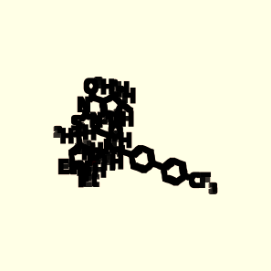 [2H]C([2H])(Sc1nc(=O)c2c(n1CC(=O)N(C([2H])([2H])c1ccc(-c3ccc(C(F)(F)F)cc3)cc1)C([2H])([2H])C([2H])([2H])N(CC)CC)C([2H])([2H])C([2H])(C)C2([2H])[2H])c1ccc(F)cc1